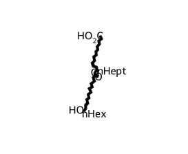 CCCCCCC[C@H](C/C=C\CCCCCCCCCC(=O)O)OC(=O)CCCCCCCCCC=CCC(O)CCCCCC